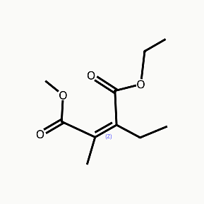 CCOC(=O)/C(CC)=C(/C)C(=O)OC